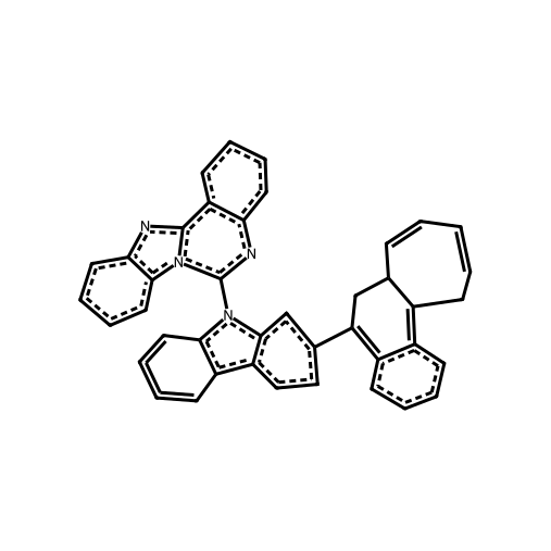 C1=C=Cc2c(c3ccc(C4=c5ccccc5=C5CC=CC=CC5C4)cc3n2-c2nc3ccccc3c3nc4ccccc4n23)C=1